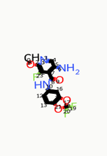 COc1ncc(N)c(C(=O)Nc2ccc3c(c2)OC(F)(F)O3)c1F